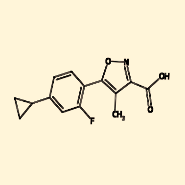 Cc1c(C(=O)O)noc1-c1ccc(C2CC2)cc1F